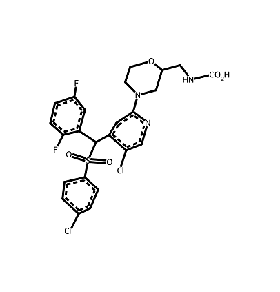 O=C(O)NCC1CN(c2cc(C(c3cc(F)ccc3F)S(=O)(=O)c3ccc(Cl)cc3)c(Cl)cn2)CCO1